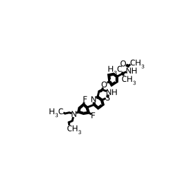 CCCN(CCC)c1cc(F)c(-c2ccc3c(n2)C=C(Oc2ccc(C(C)(C)NC(C)=O)cc2)NS3)c(F)c1